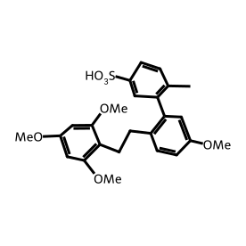 COc1cc(OC)c(CCc2ccc(OC)cc2-c2cc(S(=O)(=O)O)ccc2C)c(OC)c1